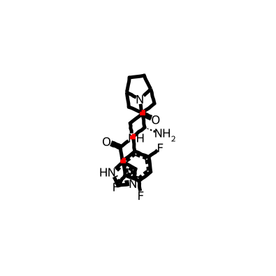 N[C@H](Cc1cc(F)c(F)cc1F)C1CC2CCC(C1)N2C(=O)CNC(=O)c1cnc[nH]1